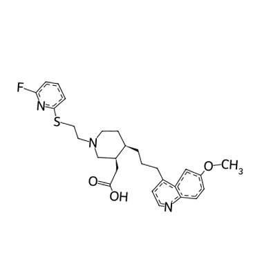 COc1ccc2nccc(CCC[C@@H]3CCN(CCSc4cccc(F)n4)C[C@@H]3CC(=O)O)c2c1